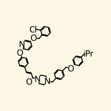 CC(C)c1ccc(OCc2ccc(CN3CCN(C(=O)/C=C/c4ccc(Oc5ccc(OCc6ccccc6Cl)cn5)cc4)CC3)cc2)cc1